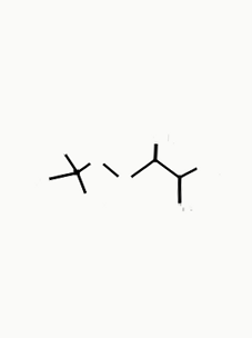 CCCCC(C(=O)O)C(C)OOC(C)(C)CC